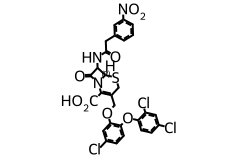 O=C(Cc1cccc([N+](=O)[O-])c1)NC1C(=O)N2C(C(=O)O)=C(COc3cc(Cl)ccc3Oc3ccc(Cl)cc3Cl)CS[C@H]12